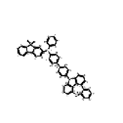 CC1(C)c2ccccc2-c2ccc(N(c3ccccc3)c3ccc(-c4ccc(-n5c6cccc7oc8ccccc8c8cccc5c8c76)cc4)cc3)cc21